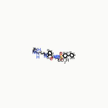 O=C(NCC(NS(=O)(=O)c1ccc(-c2ccccc2)cc1)C(=O)O)c1cccc2c1cnn2CCCNC1=NCCN1